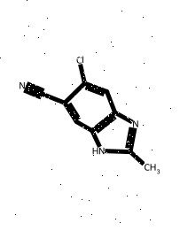 Cc1nc2cc(Cl)c(C#N)cc2[nH]1